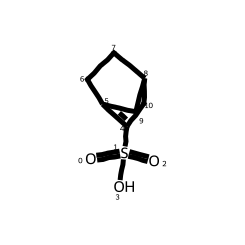 O=S(=O)(O)C1=C2CCC(C2)C1